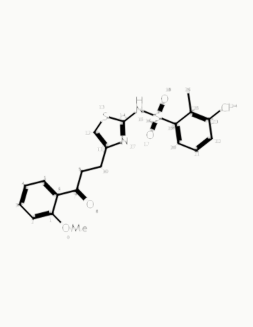 COc1ccccc1C(=O)CCc1csc(NS(=O)(=O)c2cccc(Cl)c2C)n1